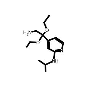 CCOC(CN)(OCC)c1ccnc(NC(C)C)c1